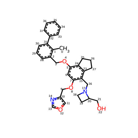 Cc1c(COc2cc(OCc3cocn3)c(CN3CCC3CO)c3c2CCC3)cccc1-c1ccccc1